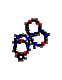 CN1CCCN(C)[C@@H](C2CN(C)CCOCCN(C)CCN3CCOCCOCCOCCN(CC3)C2)CN2CCOCCN(CCOc3ccccc3OCC2)CC1